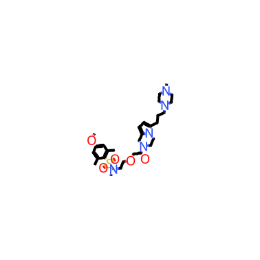 COc1cc(C)c(S(=O)(=O)N(C)CCOCC(=O)N2CCn3c(CCCN4CCN(C)CC4)ccc3C2)c(C)c1